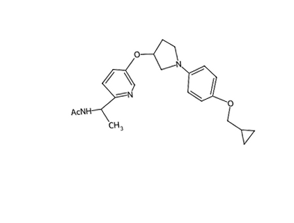 CC(=O)NC(C)c1ccc(OC2CCN(c3ccc(OCC4CC4)cc3)C2)cn1